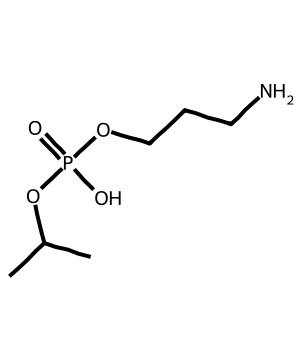 CC(C)OP(=O)(O)OCCCN